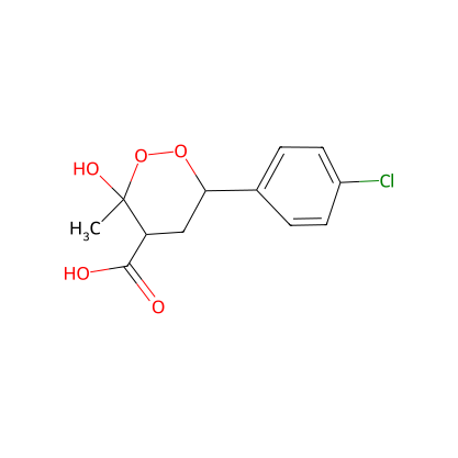 CC1(O)OOC(c2ccc(Cl)cc2)CC1C(=O)O